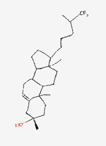 CC(CCCC1CCC2C3CC=C4C[C@@](C)(O)CCC4(C)C3CCC12C)C(F)(F)F